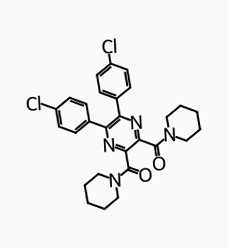 O=C(c1nc(-c2ccc(Cl)cc2)c(-c2ccc(Cl)cc2)nc1C(=O)N1CCCCC1)N1CCCCC1